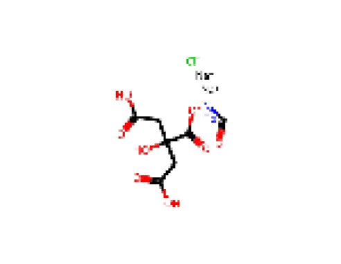 NC=O.O=C(O)CC(O)(CC(=O)O)C(=O)[O-].[Cl-].[Na+].[Na+]